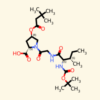 CC[C@H](C)[C@H](NC(=O)OC(C)(C)C)C(=O)NCC(=O)N1C[C@H](OC(=O)CC(C)(C)C)C[C@H]1C(=O)O